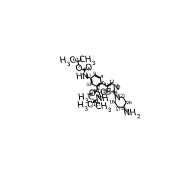 CC(C)OC(=O)Nc1ccc(-c2cnc(N3CCC(N)CC3)s2)c(S(=O)(=O)NC(C)(C)C)c1